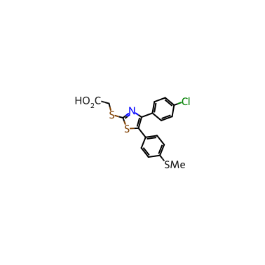 CSc1ccc(-c2sc(SCC(=O)O)nc2-c2ccc(Cl)cc2)cc1